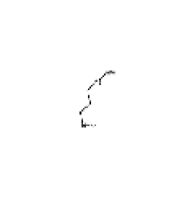 [CH2]CC[CH2][Mg][CH2]CCCCCCC